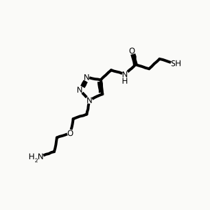 NCCOCCn1cc(CNC(=O)CCS)nn1